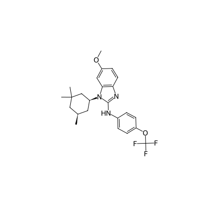 COc1ccc2nc(Nc3ccc(OC(F)(F)F)cc3)n([C@H]3C[C@@H](C)CC(C)(C)C3)c2c1